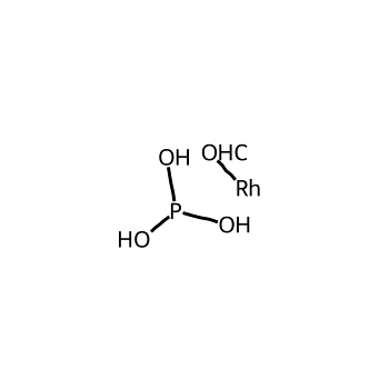 O=[CH][Rh].OP(O)O